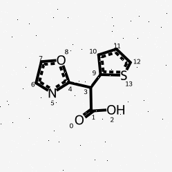 O=C(O)C(c1ncco1)c1cccs1